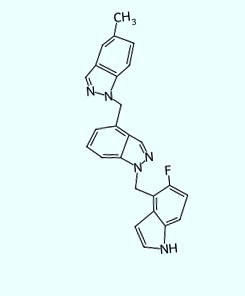 Cc1ccc2c(cnn2Cc2cccc3c2cnn3Cc2c(F)ccc3[nH]ccc23)c1